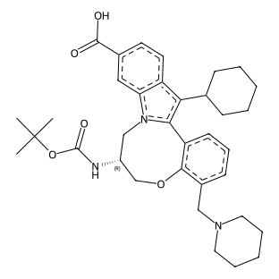 CC(C)(C)OC(=O)N[C@H]1COc2c(CN3CCCCC3)cccc2-c2c(C3CCCCC3)c3ccc(C(=O)O)cc3n2C1